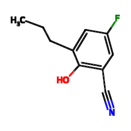 CCCc1cc(F)cc(C#N)c1O